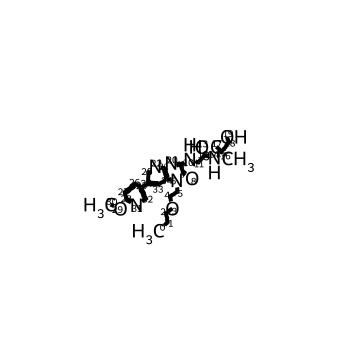 CCCOCCn1c(=O)c(NCC(=O)NC(C)(C)CO)nc2ncc(-c3ccc(OC)nc3)cc21